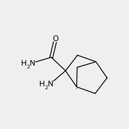 NC(=O)C1(N)CC2CC[C]1C2